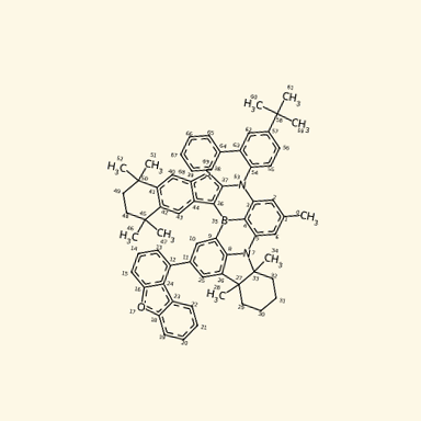 Cc1cc2c3c(c1)N1c4c(cc(-c5cccc6oc7ccccc7c56)cc4C4(C)CCCCC14C)B3c1c(sc3cc4c(cc13)C(C)(C)CCC4(C)C)N2c1ccc(C(C)(C)C)cc1-c1ccccc1